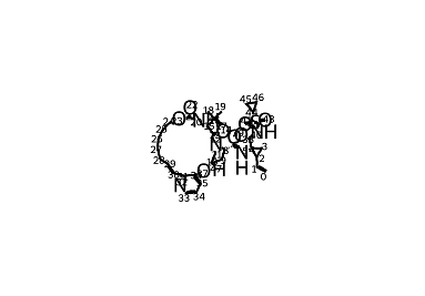 C=CC1C[C@]1(NC(=O)[C@@H]1C[C@@H]2CN1C(=O)[C@H](C(C)(C)C)NC(=O)OCCCCC/C=C/c1ncccc1O2)C(=O)NS(=O)(=O)C1CC1